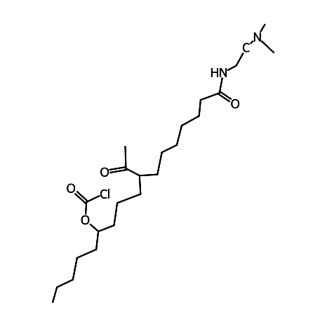 CCCCCC(CCCC(CCCCCCC(=O)NCCN(C)C)C(C)=O)OC(=O)Cl